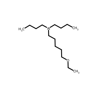 CCC[CH2][Al]([CH2]CCC)[CH2]CCCCOCC